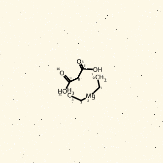 C[CH2][Mg][CH2]C.O=C(O)CC(=O)O